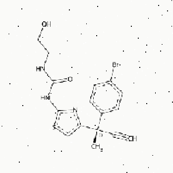 C#C[C@@](C)(c1ccc(Br)cc1)c1csc(NC(=O)NCCO)n1